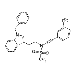 CCCc1cccc(C#CN(CCc2cn(Cc3ccccc3)c3ccccc23)S(C)(=O)=O)c1